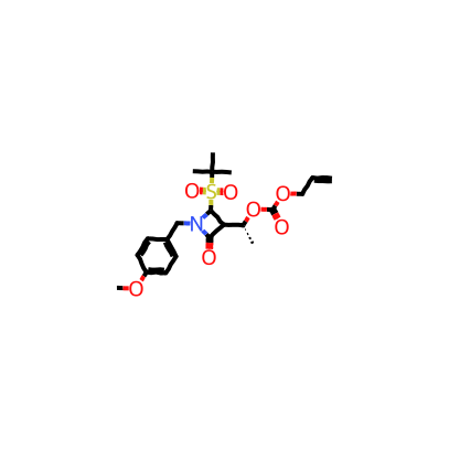 C=CCOC(=O)O[C@H](C)C1C(=O)N(Cc2ccc(OC)cc2)C1S(=O)(=O)C(C)(C)C